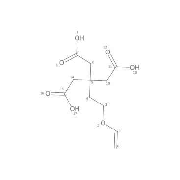 C=COCCC(CC(=O)O)(CC(=O)O)CC(=O)O